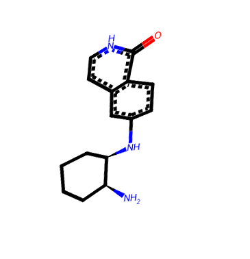 N[C@H]1CCCC[C@H]1Nc1ccc2c(=O)[nH]ccc2c1